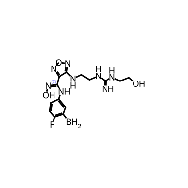 Bc1cc(N/C(=N\O)c2nonc2NCCNC(=N)NCCO)ccc1F